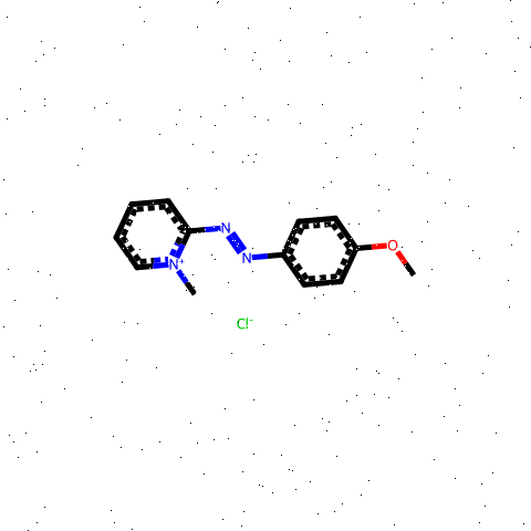 COc1ccc(/N=N/c2cccc[n+]2C)cc1.[Cl-]